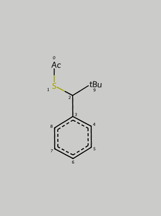 CC(=O)SC(c1ccccc1)C(C)(C)C